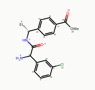 CC[C@@H](NC(=O)C(N)c1cccc(Cl)c1)c1ccc(C(=O)OC)cc1